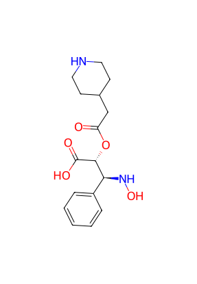 O=C(CC1CCNCC1)O[C@@H](C(=O)O)[C@@H](NO)c1ccccc1